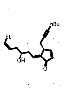 CC/C=C\C[C@H](O)C/C=C1/C(=O)C=C[C@@H]1CC#CCCCC